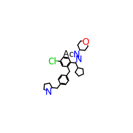 CC(=O)N(/N=C(\c1ccc(Cl)cc1Cc1ccc(CC2=NCCC2)cc1)C1CCCC1)C1CCOCC1